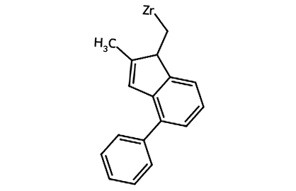 CC1=Cc2c(-c3ccccc3)cccc2C1[CH2][Zr]